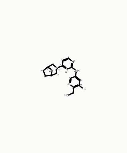 OCc1ncc(Nc2nccc(N3CC4CCC(C3)N4)n2)cc1F